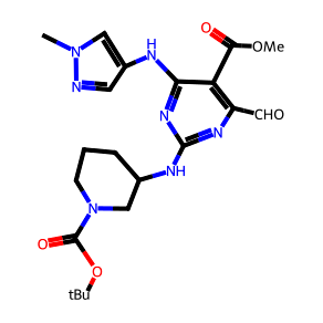 COC(=O)c1c(C=O)nc(NC2CCCN(C(=O)OC(C)(C)C)C2)nc1Nc1cnn(C)c1